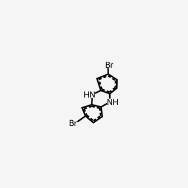 Brc1ccc2c(c1)Nc1cc(Br)ccc1N2